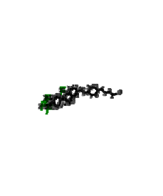 CCCCCC1CCC(CCc2ccc3c(F)c(-c4ccc(C(F)(F)F)cc4)ccc3c2)CC1